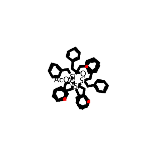 CC(=O)O[Si]1(Cc2ccccc2)C(Cc2ccccc2)(Cc2ccccc2)O[Si](Cc2ccccc2)(Cc2ccccc2)[Si](Cc2ccccc2)(Cc2ccccc2)[Si]1(Cc1ccccc1)Cc1ccccc1